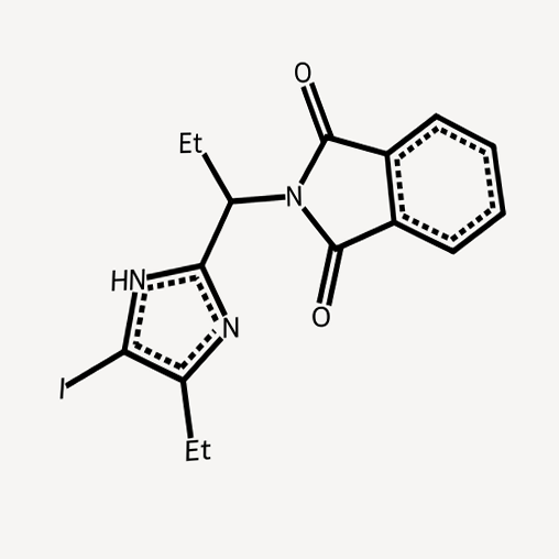 CCc1nc(C(CC)N2C(=O)c3ccccc3C2=O)[nH]c1I